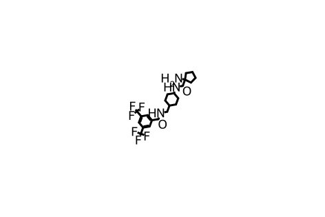 NC1(C(=O)NC2CCC(CNC(=O)c3cc(C(F)(F)F)cc(C(F)(F)F)c3)CC2)CCCC1